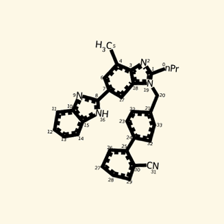 CCCc1nc2c(C)cc(-c3nc4ccccc4[nH]3)cc2n1Cc1ccc(-c2ccccc2C#N)cc1